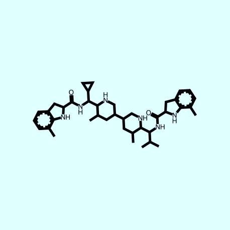 Cc1cccc2c1NC(C(=O)NC(C(C)C)C1NCC(C3CNC(C(NC(=O)C4Cc5cccc(C)c5N4)C4CC4)C(C)C3)CC1C)C2